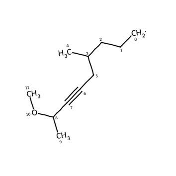 [CH2]CCC(C)CC#CC(C)OC